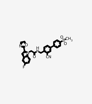 CS(=O)(=O)c1ccc(-c2ccc(CNC(=O)Cn3c(-c4ncco4)cc4cc(F)ccc43)c(C#N)c2)cc1